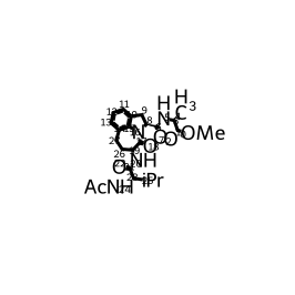 COC(=O)C(C)NC(=O)[C@@H]1Cc2cccc3c2N1C(=O)[C@@H](NC(=O)[C@@H](NC(C)=O)C(C)C)CC3